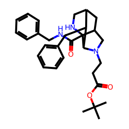 CC(C)(C)OC(=O)CCN1CC2CC3CNC2(C(=O)NCc2ccccc2)C1C3Cc1ccccc1